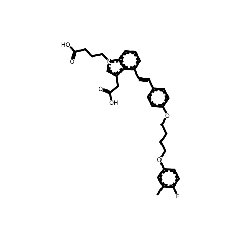 Cc1cc(OCCCCOc2ccc(C=Cc3cccc4c3c(CC(=O)O)cn4CCCC(=O)O)cc2)ccc1F